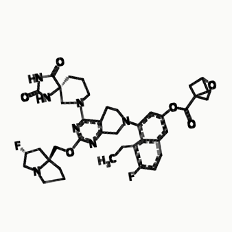 CCc1c(F)ccc2cc(OC(=O)C34COC(C3)C4)cc(N3CCc4c(nc(OC[C@@]56CCCN5C[C@H](F)C6)nc4N4CCC[C@]5(C4)NC(=O)NC5=O)C3)c12